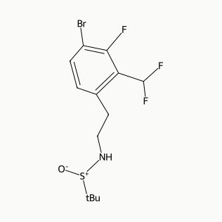 CC(C)(C)[S+]([O-])NCCc1ccc(Br)c(F)c1C(F)F